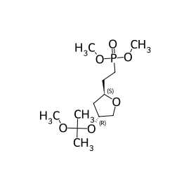 COC(C)(C)O[C@H]1CO[C@H](CCP(=O)(OC)OC)C1